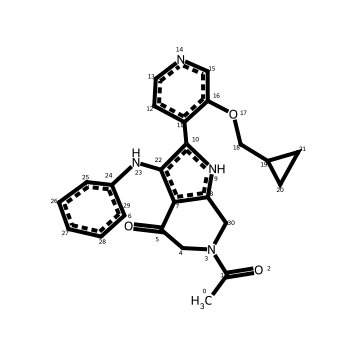 CC(=O)N1CC(=O)c2c([nH]c(-c3ccncc3OCC3CC3)c2Nc2ccccc2)C1